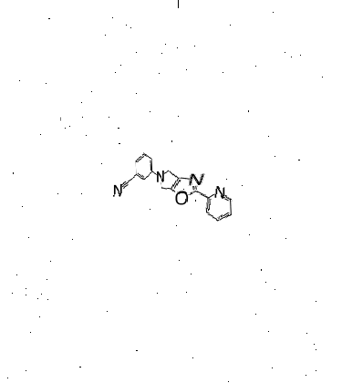 N#Cc1cccc(N2Cc3nc(-c4ccccn4)oc3C2)c1